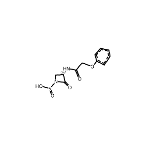 O=C(COc1ccccc1)N[C@H]1CN(S(=O)O)C1=O